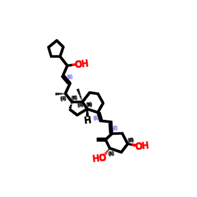 C=C1/C(=C\C=C2/CCC[C@]3(C)[C@@H]([C@H](C)/C=C/C(O)C4CCCC4)CC[C@@H]23)C[C@@H](O)C[C@@H]1O